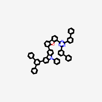 c1ccc(-c2cc(-c3ccccc3)cc(-c3ccc4c(c3)c3cc(-c5cccc6c5oc5c(-c7nc(-c8cccc(-c9ccccc9)c8)nc(-c8cccc(-c9ccccc9)c8)n7)cccc56)ccc3n4-c3ccccc3)c2)cc1